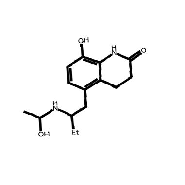 CCC(Cc1ccc(O)c2c1CCC(=O)N2)NC(C)O